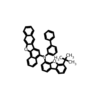 CC(C)(C)c1cccc2c1oc1c(N(c3cccc(-c4ccccc4)c3)c3cc4c5cc6ccccc6cc5oc4c4ccccc34)cccc12